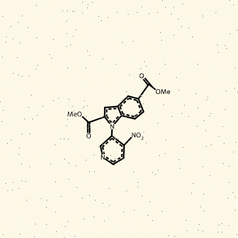 COC(=O)c1ccc2c(c1)cc(C(=O)OC)n2-c1cnccc1[N+](=O)[O-]